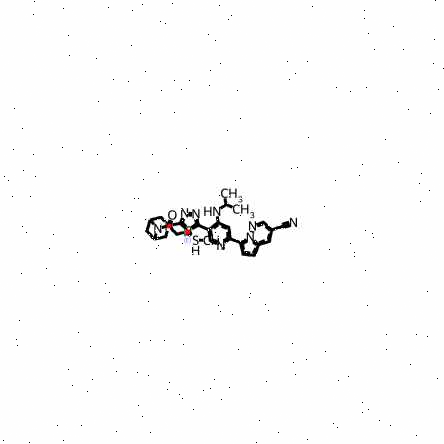 C/[SH]=N/CC(=O)N1C2CC1CN(c1nnc(-c3cnc(-c4ccc5cc(C#N)cnn45)cc3NC(C)C)s1)C2